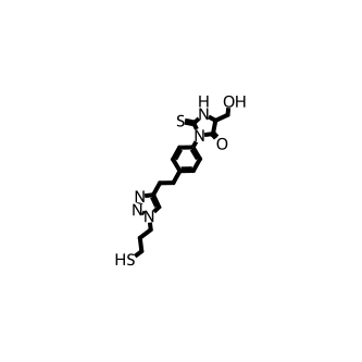 O=C1C(CO)NC(=S)N1c1ccc(CCc2cn(CCCS)nn2)cc1